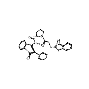 O=C1C(c2ccccc2)=C(NC(=O)[C@@H]2CCCN2C(=O)CSc2nc3ccccc3[nH]2)c2ccccc21